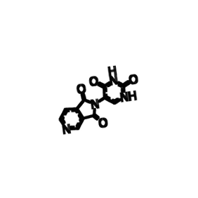 O=C1c2ccncc2C(=O)N1c1c[nH]c(=O)[nH]c1=O